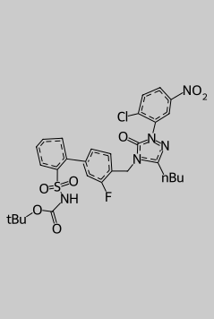 CCCCc1nn(-c2cc([N+](=O)[O-])ccc2Cl)c(=O)n1Cc1ccc(-c2ccccc2S(=O)(=O)NC(=O)OC(C)(C)C)cc1F